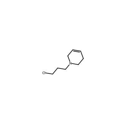 ClCCCN1CC=CCC1